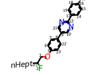 CCCCCCCC(F)COc1ccc(-c2cnc(-c3ccc(CCCCCC)cc3)nc2)cc1